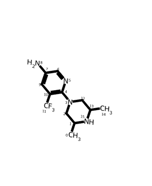 CC1CN(c2ncc(N)cc2C(F)(F)F)CC(C)N1